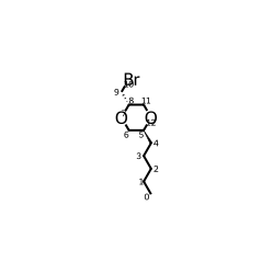 CCCCC[C@H]1CO[C@H](CBr)CO1